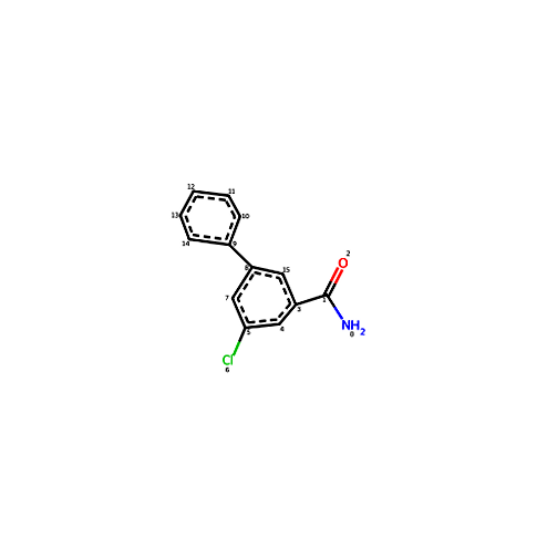 NC(=O)c1cc(Cl)cc(-c2ccccc2)c1